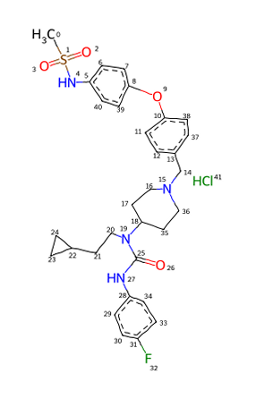 CS(=O)(=O)Nc1ccc(Oc2ccc(CN3CCC(N(CCC4CC4)C(=O)Nc4ccc(F)cc4)CC3)cc2)cc1.Cl